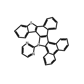 c1cnc(-n2c3c4ccccc4c4ccccc4c3c3c4ccccc4c4sc5ccccc5c4c32)nc1